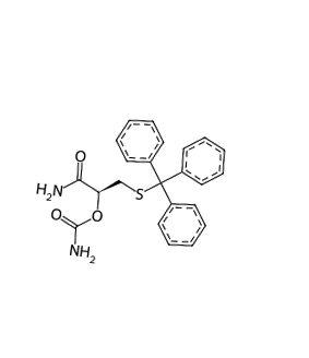 NC(=O)O[C@H](CSC(c1ccccc1)(c1ccccc1)c1ccccc1)C(N)=O